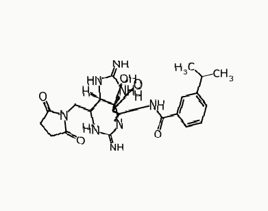 CC(C)c1cccc(C(=O)NC2CN3C(=N)NC(CN4C(=O)CCC4=O)[C@@H]4NC(=N)N[C@@]43C2(O)O)c1